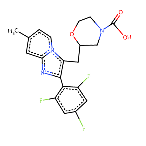 Cc1ccn2c(CC3CN(C(=O)O)CCO3)c(-c3c(F)cc(F)cc3F)nc2c1